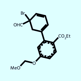 CCOC(=O)c1ccc(OCOC)cc1C1=CC=CC(Br)(C=O)C1